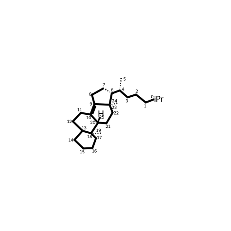 CC(C)CCC[C@@H](C)[C@H]1CCC2=C3CCC4CCCC[C@]4(C)[C@H]3CC[C@@]21C